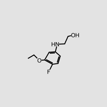 CCOc1cc(NCCO)ccc1F